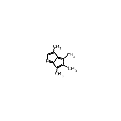 CC1=[C]P=C2C(C)=C(C)C(C)=C12